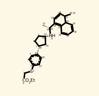 CCOC(=O)CSc1ccc([C@@H]2CC[C@H](N[C@H](C)C3=C4C=CC=CC4C(F)C=C3)C2)cc1